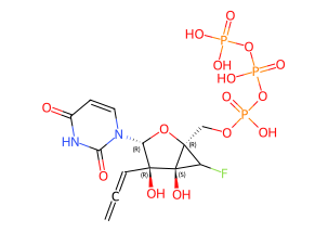 C=C=C[C@]1(O)[C@H](n2ccc(=O)[nH]c2=O)O[C@@]2(COP(=O)(O)OP(=O)(O)OP(=O)(O)O)C(F)[C@@]21O